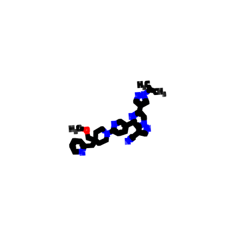 COCC1(Cc2ccccn2)CCN(c2ccc(-c3nc(-c4cnn(C(C)C)c4)cn4ncc(C#N)c34)cn2)CC1